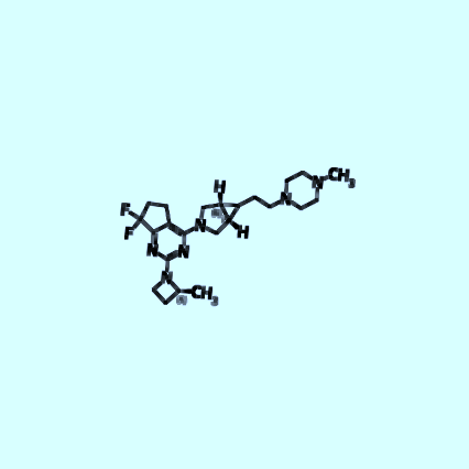 C[C@H]1CCN1c1nc(N2C[C@@H]3C(CCN4CCN(C)CC4)[C@@H]3C2)c2c(n1)C(F)(F)CC2